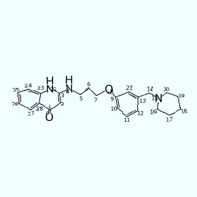 O=c1cc(NCCCOc2cccc(CN3CCCCC3)c2)[nH]c2ccccc12